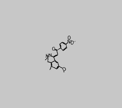 COc1cc(C)c2c(c1)/C(=C/C(=O)c1ccc([N+](=O)[O-])cc1)NC(C)(C)C2